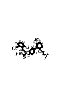 CN(C)CCOc1ccc2c(c1-c1ccc(C[C@H](NC(=O)c3c(Cl)cccc3Cl)C(=O)O)cc1)OCO2